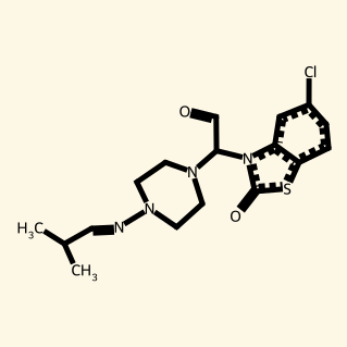 CC(C)C=NN1CCN(C(C=O)n2c(=O)sc3ccc(Cl)cc32)CC1